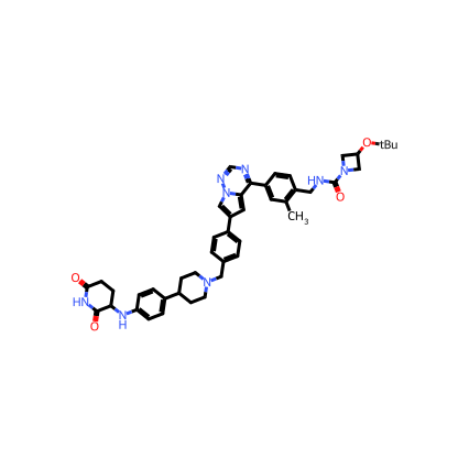 Cc1cc(-c2ncnn3cc(-c4ccc(CN5CCC(c6ccc(NC7CCC(=O)NC7=O)cc6)CC5)cc4)cc23)ccc1CNC(=O)N1CC(OC(C)(C)C)C1